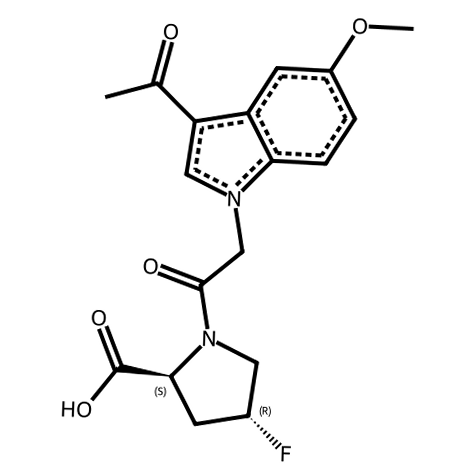 COc1ccc2c(c1)c(C(C)=O)cn2CC(=O)N1C[C@H](F)C[C@H]1C(=O)O